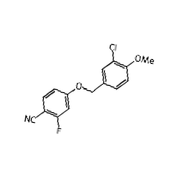 COc1ccc(COc2ccc(C#N)c(F)c2)cc1Cl